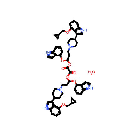 O.O=C(OC(CCN1CCC(c2c[nH]c3cccc(OCC4CC4)c23)CC1)Oc1cccc2[nH]ccc12)C(=O)OC(CCN1CCC(c2c[nH]c3cccc(OCC4CC4)c23)CC1)Oc1cccc2[nH]ccc12